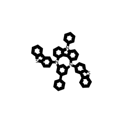 c1ccc(-c2cc3cc(c2)N(c2ccc4sc5ccccc5c4c2)c2cccc4c2c2c(cccc2n4-c2ccccc2)N3c2ccc3sc4ccccc4c3c2)cc1